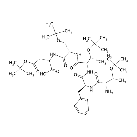 C[C@@H](OC(C)(C)C)[C@H](N)C(=O)N[C@@H](Cc1ccccc1)C(=O)N[C@H](C(=O)N[C@@H](COC(C)(C)C)C(=O)N[C@@H](CC(=O)OC(C)(C)C)C(=O)O)[C@@H](C)OC(C)(C)C